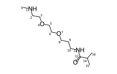 CNCCOCCOCCCNC(=O)C(C)C